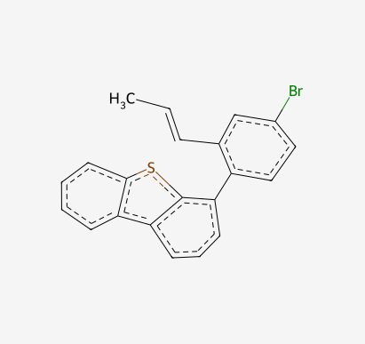 C/C=C/c1cc(Br)ccc1-c1cccc2c1sc1ccccc12